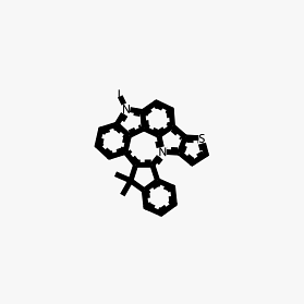 CC1(C)c2ccccc2-c2c1c1cccc3c1c1c(ccc4c5sccc5n2c41)n3I